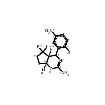 NC1=NC(c2cc([N+](=O)[O-])ccc2F)[C@@H]2[C@@H](CCC2(F)F)O1